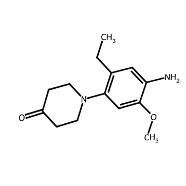 CCc1cc(N)c(OC)cc1N1CCC(=O)CC1